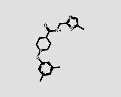 Cc1cc(C)cc(SN2CCC(C(=O)NCc3ncc(C)s3)CC2)c1